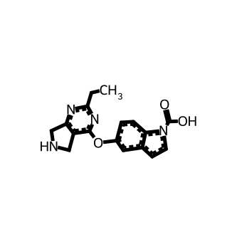 CCc1nc2c(c(Oc3ccc4c(ccn4C(=O)O)c3)n1)CNC2